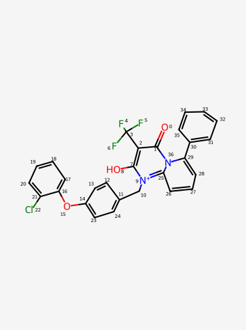 O=c1c(C(F)(F)F)c(O)[n+](Cc2ccc(Oc3ccccc3Cl)cc2)c2cccc(-c3ccccc3)n12